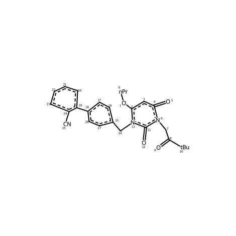 CCCOc1cc(=O)n(CC(=O)C(C)(C)C)c(=O)n1Cc1ccc(-c2ccccc2C#N)cc1